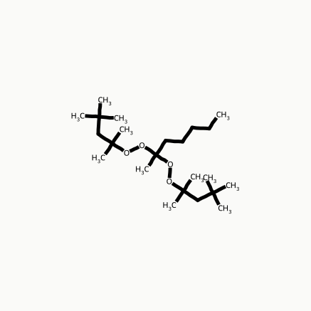 CCCCCC(C)(OOC(C)(C)CC(C)(C)C)OOC(C)(C)CC(C)(C)C